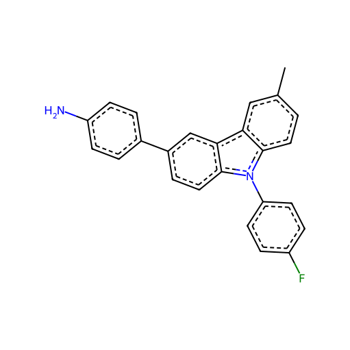 Cc1ccc2c(c1)c1cc(-c3ccc(N)cc3)ccc1n2-c1ccc(F)cc1